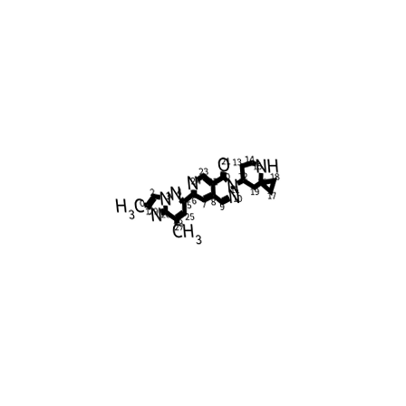 Cc1cn2nc(-c3cc4cnn(C5CCNC6(CC6)C5)c(=O)c4cn3)cc(C)c2n1